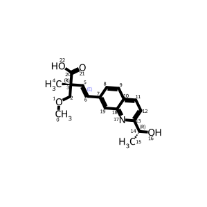 COC[C@@](C)(/C=C/c1ccc2ccc([C@@H](C)O)nc2c1)C(=O)O